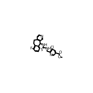 COC(=O)c1cnc(CNC(=S)NC2c3cnccc3CCc3c(F)cccc32)c(Cl)c1